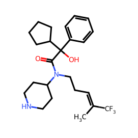 CC(=CCCN(C(=O)C(O)(c1ccccc1)C1CCCC1)C1CCNCC1)C(F)(F)F